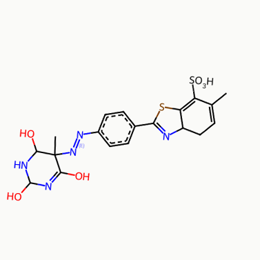 CC1=CCC2N=C(c3ccc(/N=N/C4(C)C(O)=NC(O)NC4O)cc3)SC2=C1S(=O)(=O)O